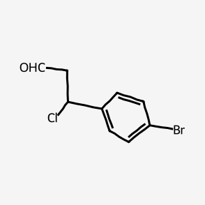 O=CCC(Cl)c1ccc(Br)cc1